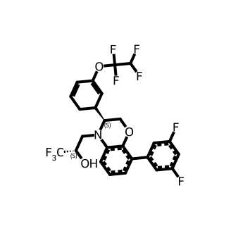 O[C@@H](CN1c2cccc(-c3cc(F)cc(F)c3)c2OC[C@@H]1C1C=C(OC(F)(F)C(F)F)C=CC1)C(F)(F)F